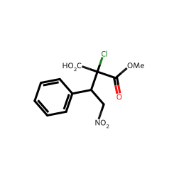 COC(=O)C(Cl)(C(=O)O)C(C[N+](=O)[O-])c1ccccc1